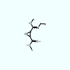 CCN=C(OC)C1OC1C(=O)OC